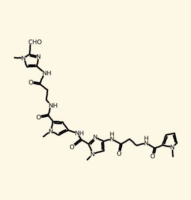 Cn1cc(NC(=O)c2nc(NC(=O)CCNC(=O)c3cccn3C)cn2C)cc1C(=O)NCCC(=O)Nc1cn(C)c(C=O)n1